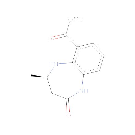 COC(=O)c1cccc2c1N[C@H](C)CC(=O)N2